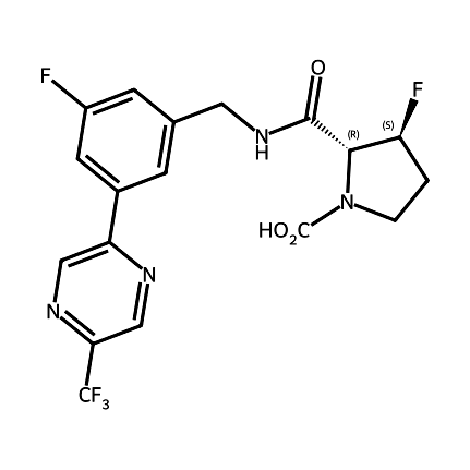 O=C(NCc1cc(F)cc(-c2cnc(C(F)(F)F)cn2)c1)[C@@H]1[C@@H](F)CCN1C(=O)O